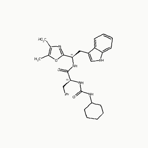 Cc1oc([C@@H](Cc2c[nH]c3ccccc23)NC(=O)[C@H](CC(C)C)NC(=O)NC2CCCCC2)nc1C(=O)O